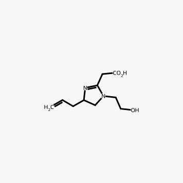 C=CCC1CN(CCO)C(CC(=O)O)=N1